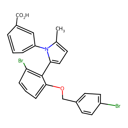 Cc1ccc(-c2c(Br)cccc2OCc2ccc(Br)cc2)n1-c1cccc(C(=O)O)c1